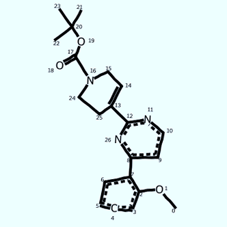 COc1ccccc1-c1ccnc(C2=CCN(C(=O)OC(C)(C)C)CC2)n1